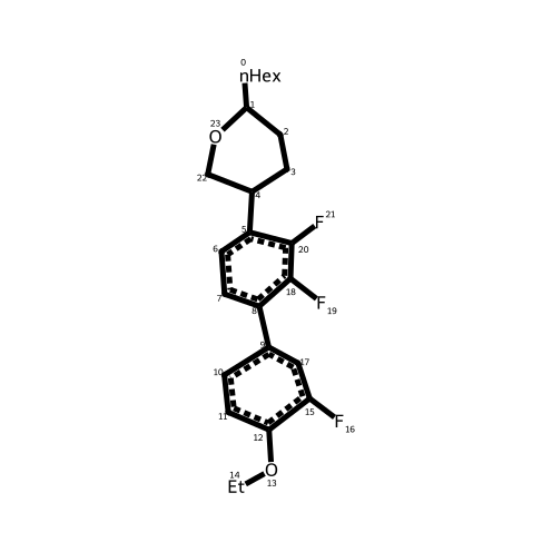 CCCCCCC1CCC(c2ccc(-c3ccc(OCC)c(F)c3)c(F)c2F)CO1